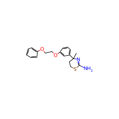 CC1(c2cccc(OCCOc3ccccc3)c2)CCSC(N)=N1